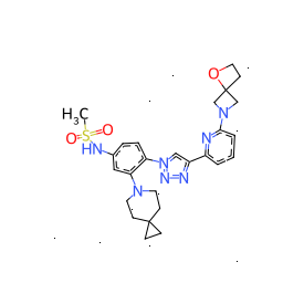 CS(=O)(=O)Nc1ccc(-n2cc(-c3cccc(N4CC5(CCO5)C4)n3)nn2)c(N2CCC3(CC2)CC3)c1